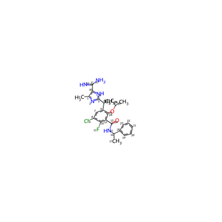 Cc1nc(C(C)c2cc(Cl)c(F)c(C(=O)NC(C)c3ccccc3)c2OC(C)C)[nH]c1C(=N)N